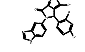 CC(C)c1[nH]nc2c1C(c1ccc(Br)cc1F)N(c1ccc3[nH]cnc3c1)C2=O